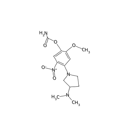 COc1cc(N2CCC(N(C)C)C2)c([N+](=O)[O-])cc1OC(N)=O